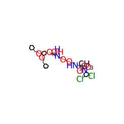 C[C@]1(CCNCCOCCOCCNC[C@@H](O)COc2ccc(OCCc3ccccc3)c(OCCc3ccccc3)c2)OC(=O)N(c2cc(Cl)cc(Cl)c2)C1=O